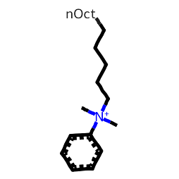 CCCCCCCCCCCCC[N+](C)(C)c1ccccc1